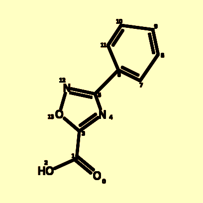 O=C(O)c1nc(-c2ccccc2)no1